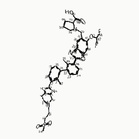 Cc1c(-c2nc3c(o2)CCN(CCS(C)(=O)=O)C3)cccc1-c1cccc(-c2nc3cc(CN4CCC[C@H]4C(=O)O)c(OC(F)F)cc3o2)c1C